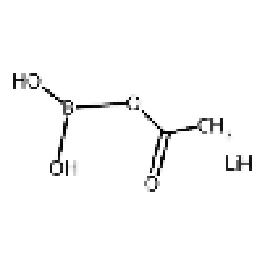 CC(=O)OB(O)O.[LiH]